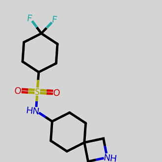 O=S(=O)(NC1CCC2(CC1)CNC2)C1CCC(F)(F)CC1